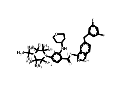 BC(B)(B)N1C(B)(B)C(B)(B)N(c2ccc(C(=O)Nc3n[nH]c4ccc(Cc5cc(F)cc(F)c5)cc34)c(NC3CCOCC3)c2)C(B)(B)C1(B)B